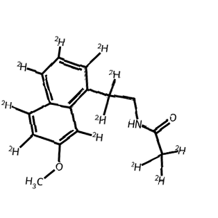 [2H]c1c([2H])c(C([2H])([2H])CNC(=O)C([2H])([2H])[2H])c2c([2H])c(OC)c([2H])c([2H])c2c1[2H]